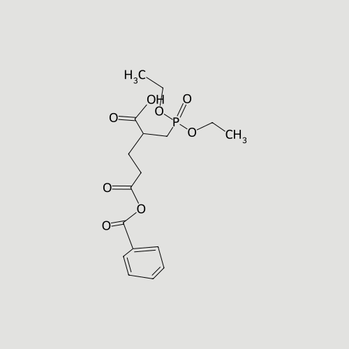 CCOP(=O)(CC(CCC(=O)OC(=O)c1ccccc1)C(=O)O)OCC